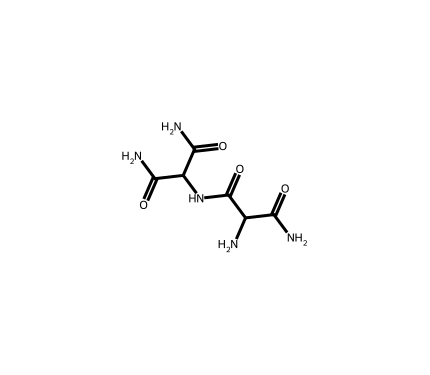 NC(=O)C(N)C(=O)NC(C(N)=O)C(N)=O